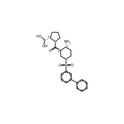 N[C@@H]1CCN(S(=O)(=O)c2cccc(-c3ccccc3)c2)C[C@H]1C(=O)N1CCC[C@H]1B(O)O